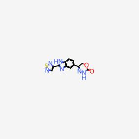 O=C1NN=C(c2ccc3[nH]c(-c4cnsn4)nc3c2)CO1